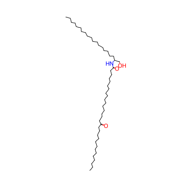 CCCCCCCCCCCCCCCCCCC(CO)NC(=O)CCCCCCCCCCCCCCCC(=O)CCCCCCCCCCCCC